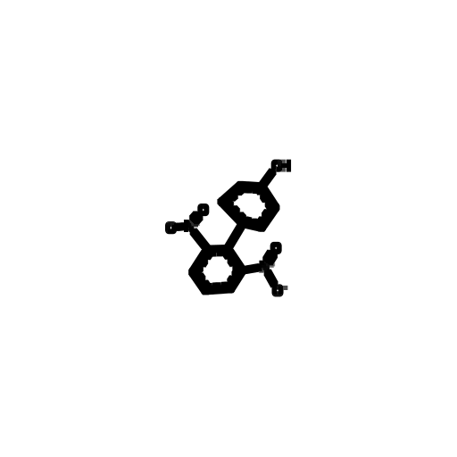 O=[N+]([O-])c1cccc([N+](=O)[O-])c1-c1ccc(O)cc1